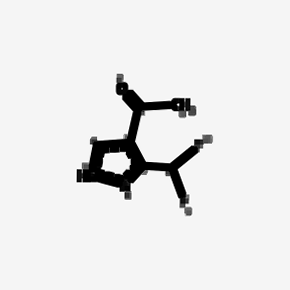 CC(=O)c1c[nH]nc1C(F)F